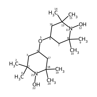 CC1(C)CC(OC2CC(C)(C)N(O)C(C)(C)C2)CC(C)(C)N1O